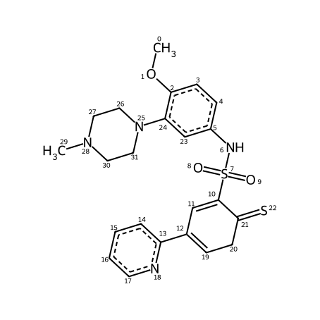 COc1ccc(NS(=O)(=O)C2=CC(c3ccccn3)=CCC2=S)cc1N1CCN(C)CC1